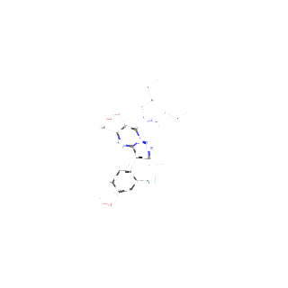 CCCCN(CCCC)c1c2c(nc3c(-c4ccc(OC)cc4Cl)c(C)nn13)COC2